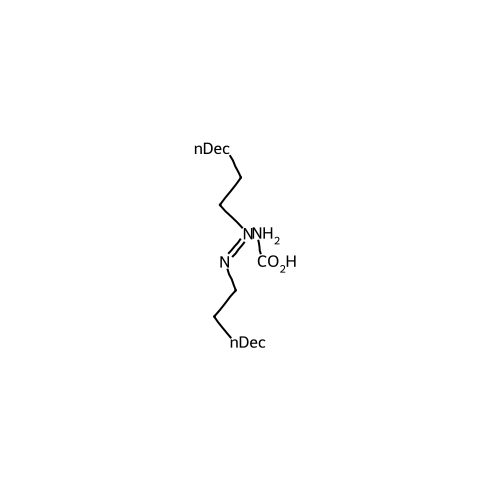 CCCCCCCCCCCCN=NCCCCCCCCCCCC.NC(=O)O